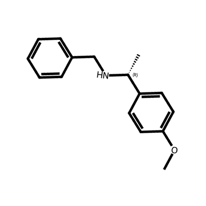 COc1ccc([C@@H](C)NCc2ccccc2)cc1